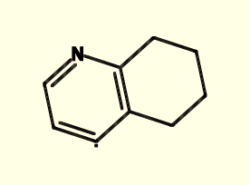 [c]1ccnc2c1CCCC2